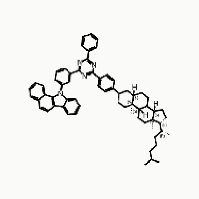 CC(C)CCC[C@@H](C)[C@H]1CC[C@H]2C3CC[C@H]4CC(c5ccc(-c6nc(-c7ccccc7)nc(-c7cccc(-n8c9ccccc9c9ccc%10ccccc%10c98)c7)n6)cc5)CC[C@]4(C)[C@H]3CC[C@]12C